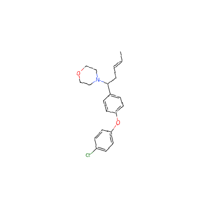 CC=CCC(c1ccc(Oc2ccc(Cl)cc2)cc1)N1CCOCC1